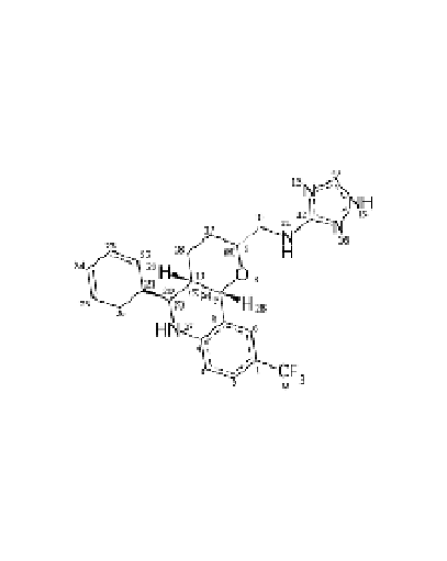 FC(F)(F)c1ccc2c(c1)[C@H]1O[C@@H](CNc3nc[nH]n3)CC[C@H]1[C@H](C1C=CC=CC1)N2